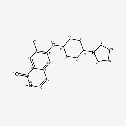 Cc1cc2c(=O)[nH]ccc2cc1OC1CCC(N2CCCC2)CC1